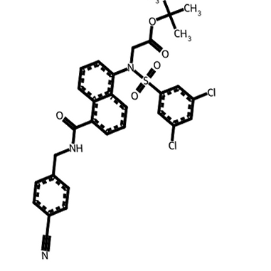 CC(C)(C)OC(=O)CN(c1cccc2c(C(=O)NCc3ccc(C#N)cc3)cccc12)S(=O)(=O)c1cc(Cl)cc(Cl)c1